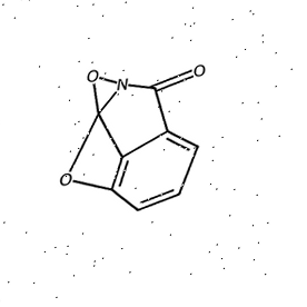 O=C1c2cccc3c2C2(O3)ON12